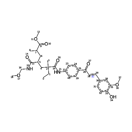 CCC(C)(CC(CC(C)C(=O)OC)C(=O)NCOC)C(=O)Nc1ccc(C(=O)/C=C/c2ccc(O)c(OC)c2)cc1